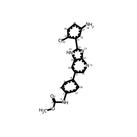 COC(=O)Nc1ccc(-c2cnc3nc(-c4cc(N)ccc4Cl)[nH]c3c2)cc1